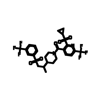 CC(CS(=O)(=O)c1cccc(C(F)(F)F)c1)C1CCN(C(=O)c2ccc(C(F)(F)F)nc2S(=O)(=O)C2CC2)CC1